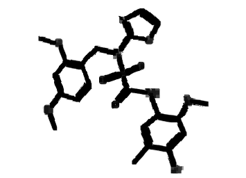 COc1ccc(CN(c2ncco2)S(=O)(=O)C(=O)Nc2cc(C)c(Br)cc2OC)c(OC)c1